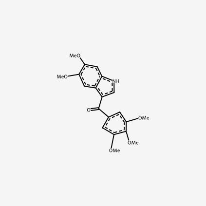 COc1cc2[nH]cc(C(=O)c3cc(OC)c(OC)c(OC)c3)c2cc1OC